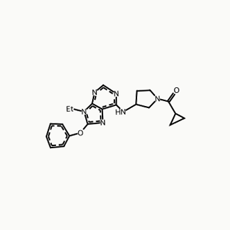 CCn1c(Oc2ccccc2)nc2c(NC3CCN(C(=O)C4CC4)C3)ncnc21